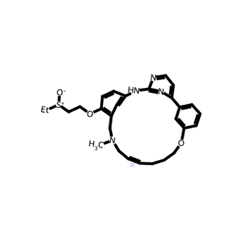 CC[S+]([O-])CCOc1ccc2cc1CN(C)C/C=C\CCCOc1cccc(c1)-c1ccnc(n1)N2